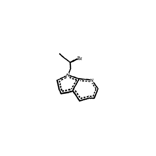 CC(Br)n1ccc2cccnc21